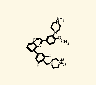 COc1ccc(-c2cnc3cccc(-c4cc(F)c(CN5CCS(=O)(=O)CC5)c(F)c4)c3n2)cc1N1CCN(C)CC1